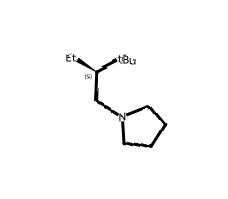 CC[C@H](CN1CCCC1)C(C)(C)C